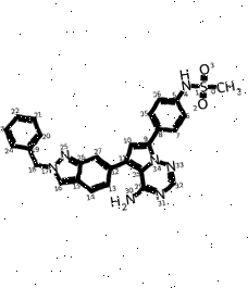 CS(=O)(=O)Nc1ccc(-c2cc(-c3ccc4cn(Cc5ccccc5)nc4c3)c3c(N)ncnn23)cc1